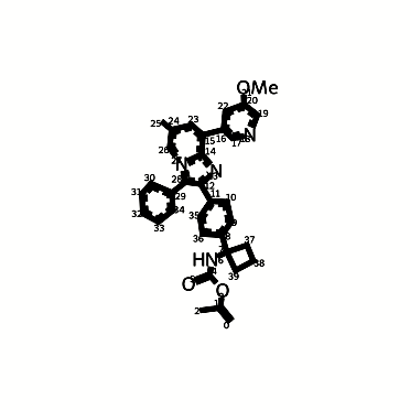 C=C(C)OC(=O)NC1(c2ccc(-c3nc4c(-c5cncc(OC)c5)cc(C)cn4c3-c3ccccc3)cc2)CCC1